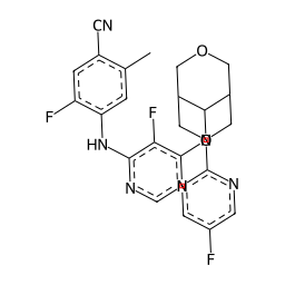 Cc1cc(Nc2ncnc(OC3C4COCC3CN(c3ncc(F)cn3)C4)c2F)c(F)cc1C#N